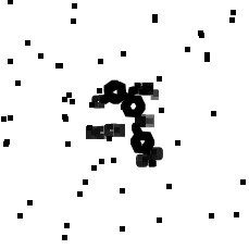 CS(=O)(=O)c1ccc(CN[C@H]2CC[C@@](CN)(c3cccc(Cl)c3)CC2)cc1.Cl.Cl